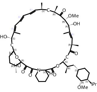 CO[C@@H]1C[C@H](C[C@@H](C)[C@@H]2CC(=O)[C@H](C)/C=C(\C)[C@@H](O)[C@@H](OC)C(=O)[C@H](C)C[C@H](C)/C=C/C=C/C=C(\C)[C@@H](O)C[C@@H]3CC[C@@H](C)[C@@](O)(O3)C(=O)C(=O)N3CCCC[C@H]3C(=O)O2)CC[C@H]1C(C)C